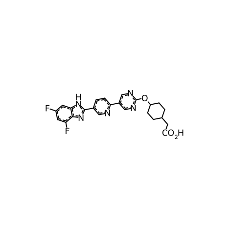 O=C(O)CC1CCC(Oc2ncc(-c3ccc(-c4nc5c(F)cc(F)cc5[nH]4)cn3)cn2)CC1